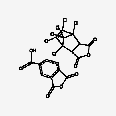 O=C(O)c1ccc2c(c1)C(=O)OC2=O.O=C1OC(=O)C2C1C1(Cl)C(Cl)=C(Cl)C2(Cl)C1(Cl)Cl